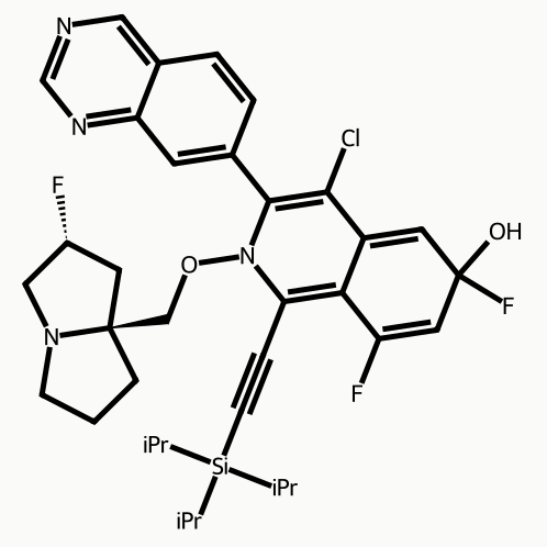 CC(C)[Si](C#CC1=C2C(F)=CC(O)(F)C=C2C(Cl)=C(c2ccc3cncnc3c2)N1OC[C@@]12CCCN1C[C@H](F)C2)(C(C)C)C(C)C